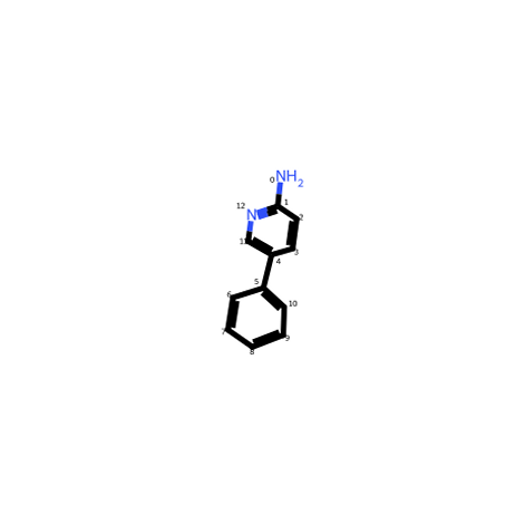 Nc1ccc(-c2[c]cccc2)cn1